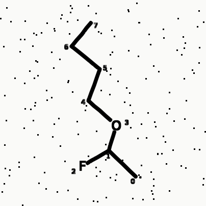 [CH2]C(F)OCCCC